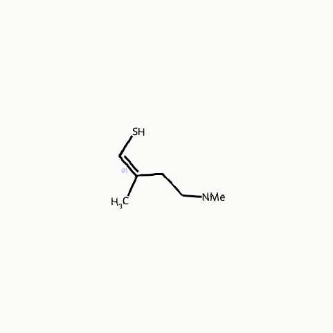 CNCC/C(C)=C\S